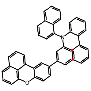 c1ccc(-c2ccccc2N(c2cccc(-c3ccc4c(c3)-c3cccc5cccc(c35)O4)c2)c2cccc3ccccc23)cc1